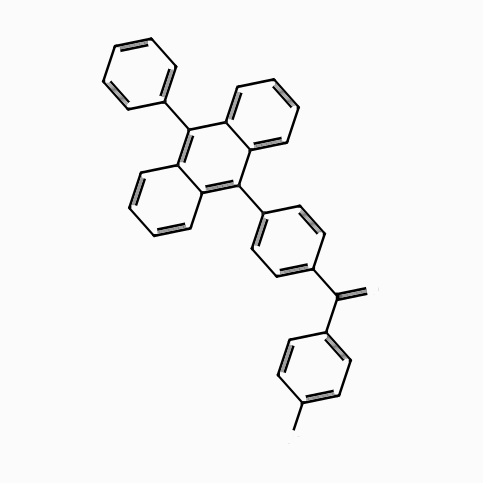 O=C(c1ccc(Br)cc1)c1ccc(-c2c3ccccc3c(-c3ccccc3)c3ccccc23)cc1